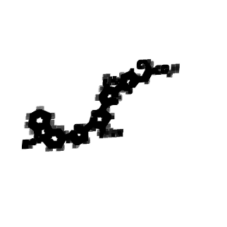 [C-]#[N+]/C(=C\c1ccc(-c2sc(-c3cc(CCCCCC)c(-c4ccc(-c5ccc6c(c5)c5ccccc5n6CC)s4)s3)cc2CCCCCC)s1)C(=O)O